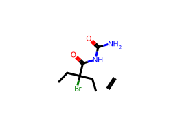 C=C.CCC(Br)(CC)C(=O)NC(N)=O